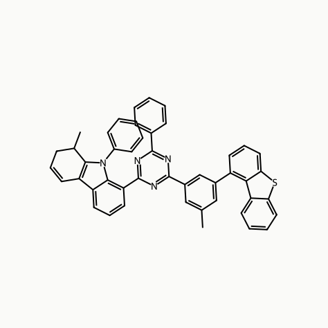 Cc1cc(-c2nc(-c3ccccc3)nc(-c3cccc4c5c(n(-c6ccccc6)c34)C(C)CC=C5)n2)cc(-c2cccc3sc4ccccc4c23)c1